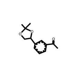 CC(=O)c1cccc(C2COC(C)(C)O2)c1